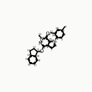 Cc1ccc(-n2ccc3c(OC4CCc5ccccc54)nn(C)c(=O)c32)c(C)c1